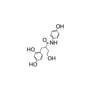 O=C(Nc1ccc(O)cc1)C(CCO)Cc1ccc(O)cc1O